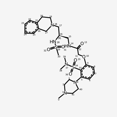 CN1CCN(c2cccc(OCC(=O)NC[C@H](CN3CCc4ccccc4C3)NS(C)(=O)=O)c2S(=O)(=O)N(C)C)CC1